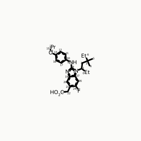 CCC(CC(C)(C)CC)n1c(Nc2ccc(OC(C)C)cc2)nc2cc(CC(=O)O)c(F)cc21